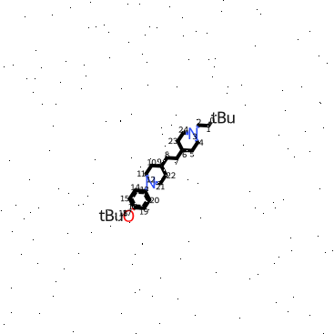 CC(C)(C)CCN1CCC(CCC2CCN(c3ccc(OC(C)(C)C)cc3)CC2)CC1